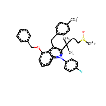 C[S+]([O-])CCC(C)(C)c1c(Cc2ccc(C(=O)O)cc2)c2c(OCc3ccccc3)cccc2n1-c1ccc(F)cc1